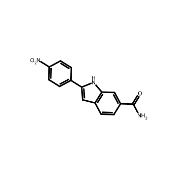 NC(=O)c1ccc2cc(-c3ccc([N+](=O)[O-])cc3)[nH]c2c1